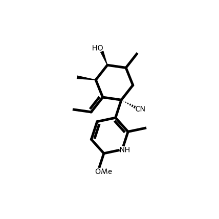 C/C=C1\[C@@H](C)[C@@H](O)C(C)C[C@@]1(C#N)C1=C(C)NC(OC)C=C1